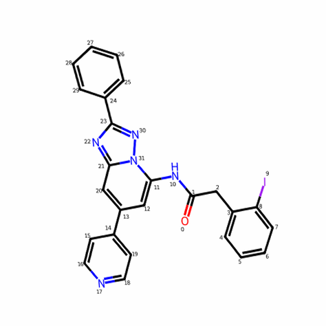 O=C(Cc1ccccc1I)Nc1cc(-c2ccncc2)cc2nc(-c3ccccc3)nn12